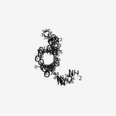 CC[C@H]1OC(=O)[C@@](C)(F)C(=O)[C@H](C)[C@@H](O[C@@H]2O[C@H](C)C[C@H](NC)[C@H]2OC(=O)c2ccccc2)[C@@](C)(OC)C[C@@H](C)C(=O)[C@H](C)[C@H]2N(CCCCn3cc(-c4cccc(N)c4)nn3)C(=O)O[C@]12C